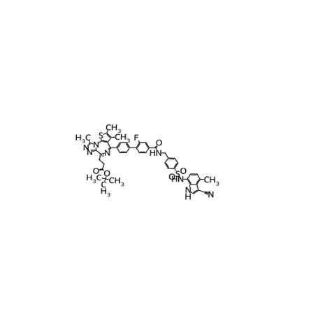 Cc1sc2c(c1C)C(c1ccc(-c3ccc(C(=O)NCc4ccc(S(=O)(=O)Nc5ccc(C)c6c(C#N)c[nH]c56)cc4)cc3F)cc1)=N[C@@H](CCC(=O)OC(C)(C)C)c1nnc(C)n1-2